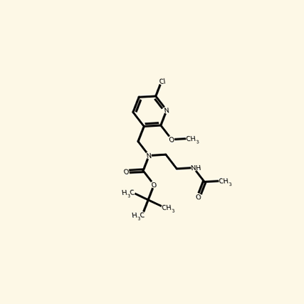 COc1nc(Cl)ccc1CN(CCNC(C)=O)C(=O)OC(C)(C)C